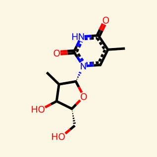 Cc1cn([C@@H]2O[C@H](CO)C(O)C2C)c(=O)[nH]c1=O